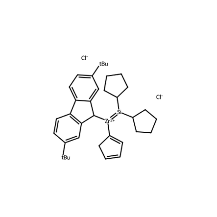 CC(C)(C)c1ccc2c(c1)[CH]([Zr+2]([C]1=CC=CC1)=[Si](C1CCCC1)C1CCCC1)c1cc(C(C)(C)C)ccc1-2.[Cl-].[Cl-]